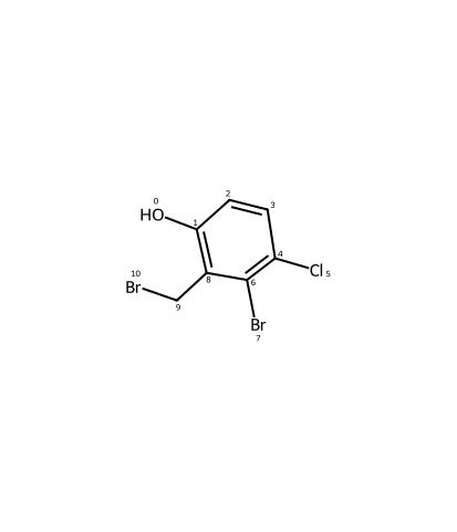 Oc1ccc(Cl)c(Br)c1CBr